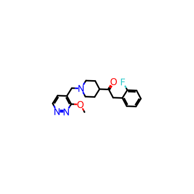 COc1nnccc1CN1CCC(C(=O)Cc2ccccc2F)CC1